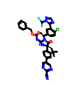 [CH2][C@@H](c1ccc(Cl)c(-c2ncnn2C(F)F)c1)N1C(=O)[C@@](CC(C)(C)C)(c2ccc(-c3cnc(C#N)nc3)cc2)N/C1=N/C(=O)OCc1ccccc1